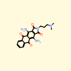 CN(C)CCCn1c(=O)c2c(N)c3c(=O)c4ccccc4c(=O)c3c(N)c2c1=O